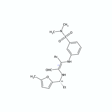 CC[C@@H](N/C(C=O)=C(\Nc1cccc(S(=O)(=O)N(C)C)c1)C(C)=O)c1ccc(C)o1